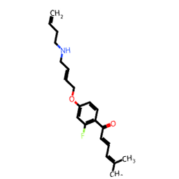 C=CCCNCC=CCOc1ccc(C(=O)C=CC=C(C)C)c(F)c1